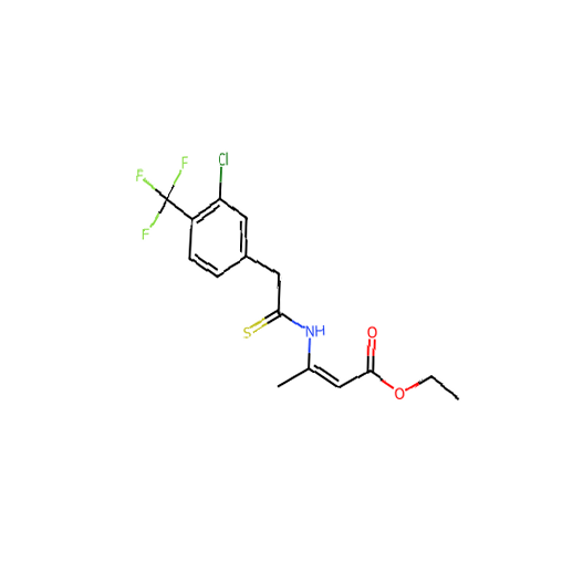 CCOC(=O)/C=C(/C)NC(=S)Cc1ccc(C(F)(F)F)c(Cl)c1